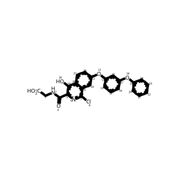 O=C(O)CNC(=O)c1nc(Cl)c2cc(Oc3cccc(Oc4ccccc4)c3)ccc2c1O